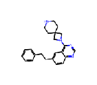 c1ccc(CCc2ccc3ncnc(N4CC5(CCNCC5)C4)c3c2)cc1